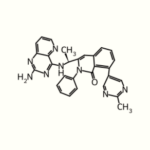 Cc1ncc(-c2cccc3cc([C@H](C)Nc4nc(N)nc5cccnc45)n(-c4ccccc4)c(=O)c23)cn1